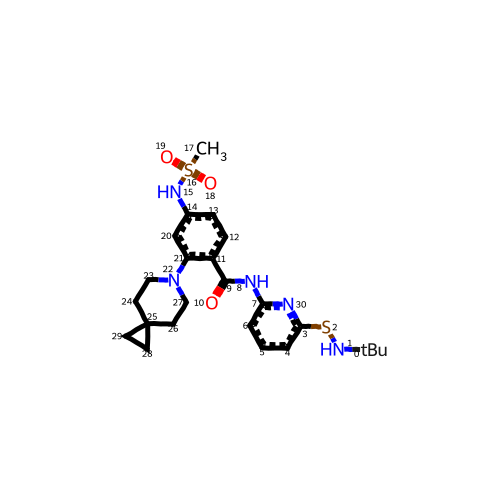 CC(C)(C)NSc1cccc(NC(=O)c2ccc(NS(C)(=O)=O)cc2N2CCC3(CC2)CC3)n1